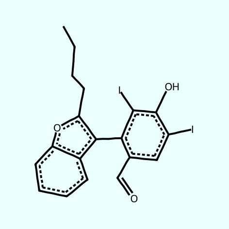 CCCCc1oc2ccccc2c1-c1c(C=O)cc(I)c(O)c1I